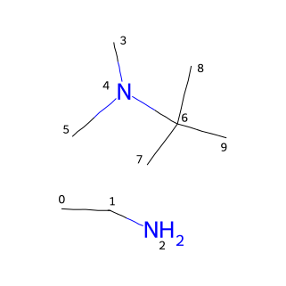 CCN.CN(C)C(C)(C)C